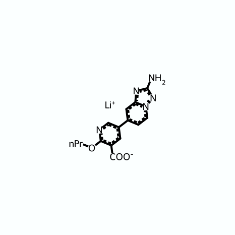 CCCOc1ncc(-c2ccn3nc(N)nc3c2)cc1C(=O)[O-].[Li+]